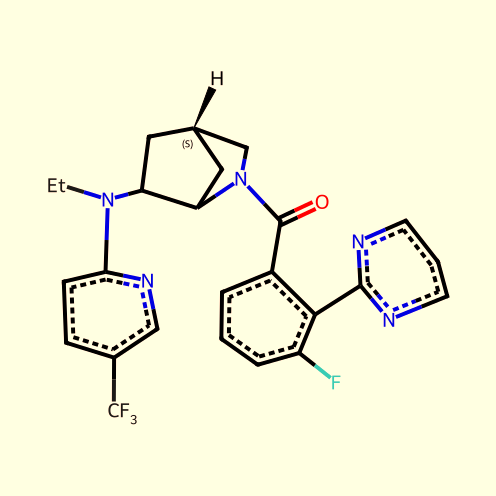 CCN(c1ccc(C(F)(F)F)cn1)C1C[C@H]2CC1N(C(=O)c1cccc(F)c1-c1ncccn1)C2